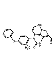 Cc1cc(Oc2ccccc2)ccc1N1C(=O)NC2=C(C=O)SC3NC=CC1=C23